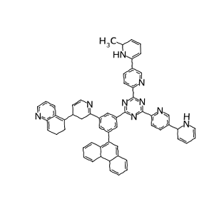 CC1C=CC=C(c2ccc(-c3nc(-c4cc(C5=NC=CC(C6=c7cccnc7=CCC6)C5)cc(C5=C6C=CC=CC6C6C=CC=CC6=C5)c4)nc(-c4ccc(C5C=CC=CN5)cn4)n3)nc2)N1